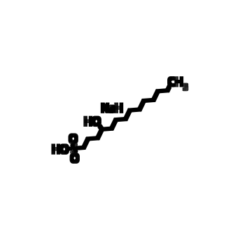 CCCCCCCCCCC(O)CCCS(=O)(=O)O.[NaH]